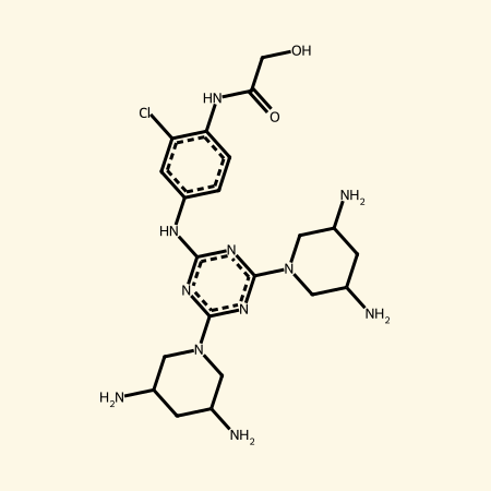 NC1CC(N)CN(c2nc(Nc3ccc(NC(=O)CO)c(Cl)c3)nc(N3CC(N)CC(N)C3)n2)C1